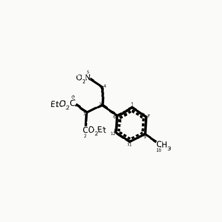 CCOC(=O)C(C(=O)OCC)C(C[N+](=O)[O-])c1ccc(C)cc1